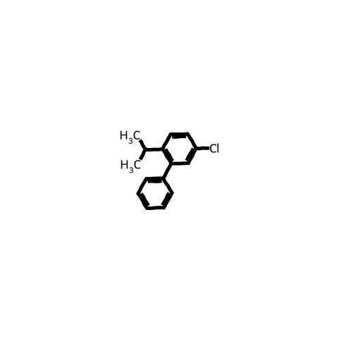 CC(C)c1ccc(Cl)cc1-c1ccccc1